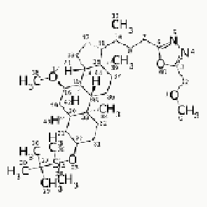 COCc1nnc(CC[C@@H](C)[C@H]2CC[C@H]3[C@@H]4[C@H](OC)C[C@@H]5C[C@H](O[Si](C)(C)C(C)(C)C)CC[C@]5(C)[C@H]4CC[C@]23C)o1